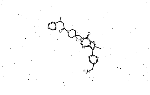 C[C@@H](CC(=O)N1CCC(O)(Cn2cnc3c(-c4ccc(CN)cc4)n(C)nc3c2=O)CC1)c1ccccc1